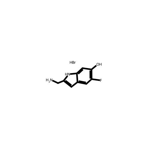 Br.NCc1cc2cc(F)c(O)cc2[nH]1